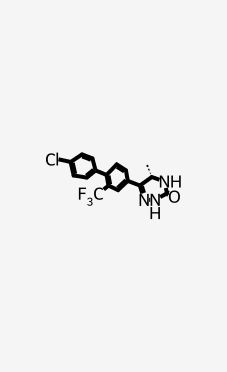 C[C@@H]1NC(=O)NN=C1c1ccc(-c2ccc(Cl)cc2)c(C(F)(F)F)c1